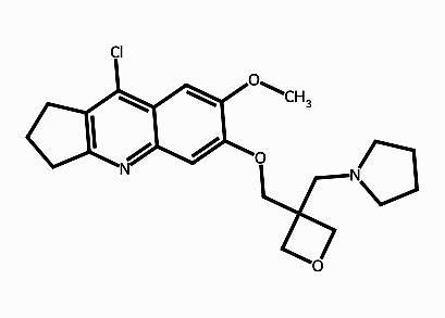 COc1cc2c(Cl)c3c(nc2cc1OCC1(CN2CCCC2)COC1)CCC3